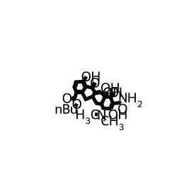 CCCCOC(=O)c1ccc(O)c2c1CC1CC3C(N(C)C)C(O)=C(C(N)=O)C(=O)C3(O)C(O)=C1C2=O